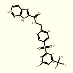 O=C(NCc1ccc(S(=O)(=O)c2cc(F)cc(C(F)(F)F)c2)cc1)c1cc2ccncc2[nH]1